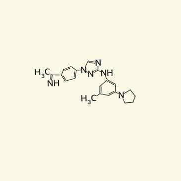 CC(=N)c1ccc(-n2cnc(Nc3cc(C)cc(N4CCCC4)c3)n2)cc1